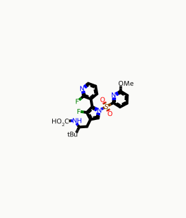 COc1cccc(S(=O)(=O)n2cc(CC(NC(=O)O)C(C)(C)C)c(F)c2-c2cccnc2F)n1